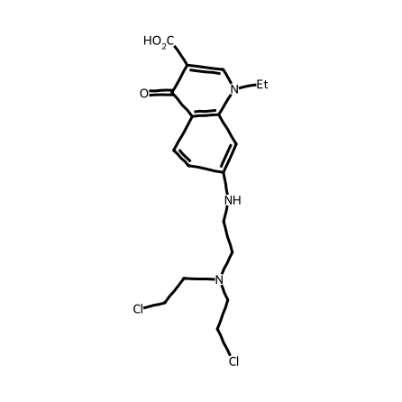 CCn1cc(C(=O)O)c(=O)c2ccc(NCCN(CCCl)CCCl)cc21